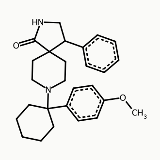 COc1ccc(C2(N3CCC4(CC3)C(=O)NCC4c3ccccc3)CCCCC2)cc1